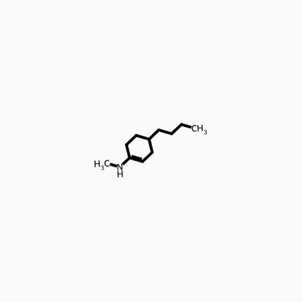 CCCCC1CC=C(NC)CC1